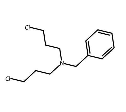 ClCCCN(CCCCl)Cc1ccccc1